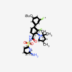 CC(C)COc1cc(F)cc(-c2ccc(C(=O)NS(=O)(=O)c3cccc(N)n3)c(N3C[C@@H](C)CC3(C)C)c2F)c1